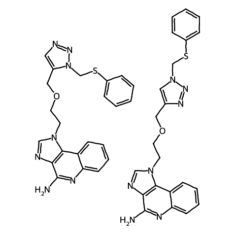 Nc1nc2ccccc2c2c1ncn2CCOCc1cn(CSc2ccccc2)nn1.Nc1nc2ccccc2c2c1ncn2CCOCc1cnnn1CSc1ccccc1